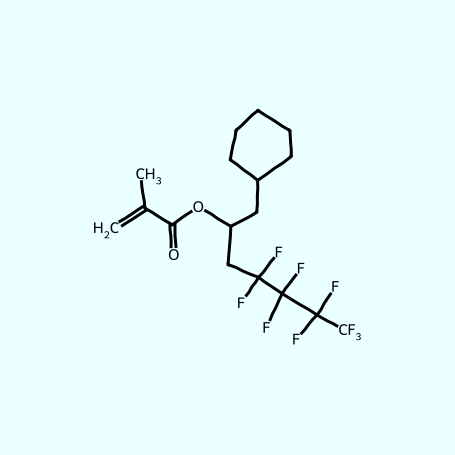 C=C(C)C(=O)OC(CC1CCCCC1)CC(F)(F)C(F)(F)C(F)(F)C(F)(F)F